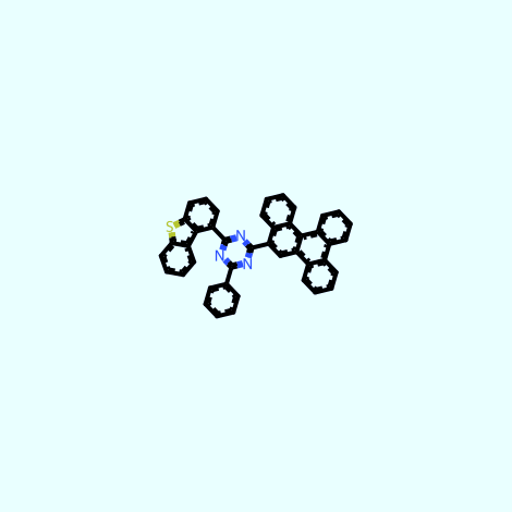 c1ccc(-c2nc(-c3cc4c5ccccc5c5ccccc5c4c4ccccc34)nc(-c3cccc4sc5ccccc5c34)n2)cc1